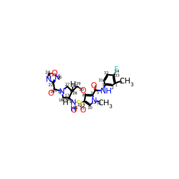 Cc1cc(NC(=O)c2c3c(cn2C)S(=O)(=O)N[C@@H]2CN(C(=O)c4ncon4)C[C@@H]2CO3)ccc1F